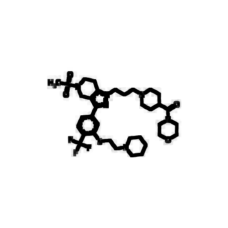 CS(=O)(=O)N1CCc2c(c(-c3ccc(C(F)(F)F)c(SCCN4CCCCC4)c3)nn2CCCN2CCC(C(=O)N3CCOCC3)CC2)C1